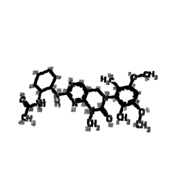 COc1cc(OC)c(C)c(N2Cc3cnc(N[C@@H]4CCCC[C@@H]4NC(C)=O)nc3N(C)C2=O)c1C